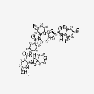 Cc1ccc(C(=O)Nc2ccc(C(=O)N3CCc4cc(C(=O)Nc5c(F)cc(F)cc5F)sc4-c4ccc(F)cc43)cc2)c(N2CC3(CCOCC3)C2)n1